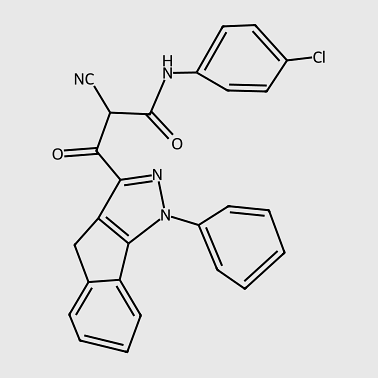 N#CC(C(=O)Nc1ccc(Cl)cc1)C(=O)c1nn(-c2ccccc2)c2c1Cc1ccccc1-2